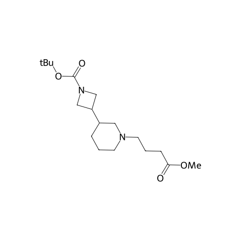 COC(=O)CCCN1CCCC(C2CN(C(=O)OC(C)(C)C)C2)C1